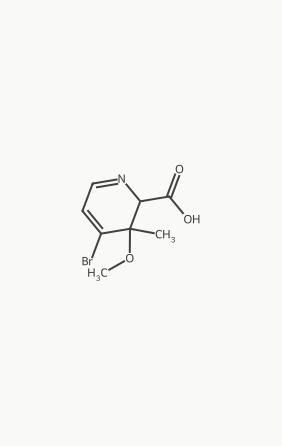 COC1(C)C(Br)=CC=NC1C(=O)O